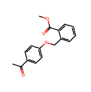 COC(=O)c1ccccc1COc1ccc(C(C)=O)cc1